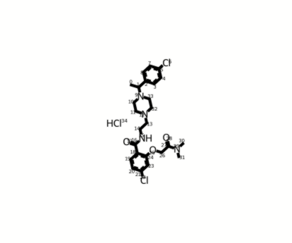 CC(c1ccc(Cl)cc1)N1CCN(CCNC(=O)c2ccc(Cl)cc2OCC(=O)N(C)C)CC1.Cl